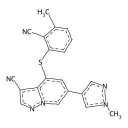 Cc1cccc(Sc2cc(-c3cnn(C)c3)cn3ncc(C#N)c23)c1C#N